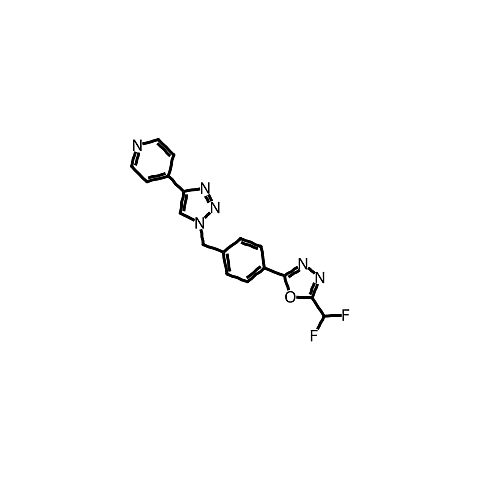 FC(F)c1nnc(-c2ccc(Cn3cc(-c4ccncc4)nn3)cc2)o1